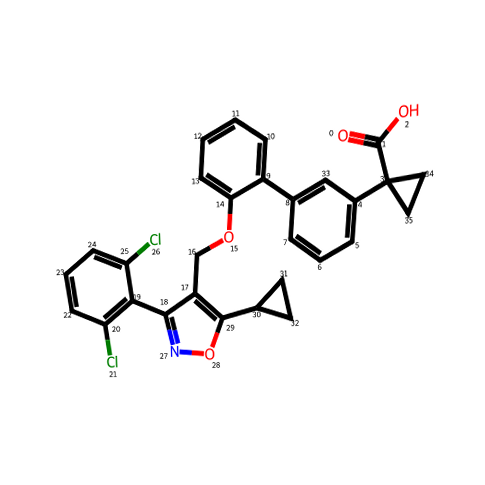 O=C(O)C1(c2cccc(-c3ccccc3OCc3c(-c4c(Cl)cccc4Cl)noc3C3CC3)c2)CC1